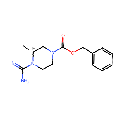 C[C@@H]1CN(C(=O)OCc2ccccc2)CCN1C(=N)N